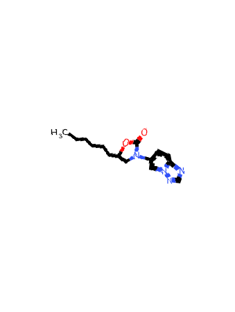 CCCCCCC1CN(c2ccc3ncnn3c2)C(=O)O1